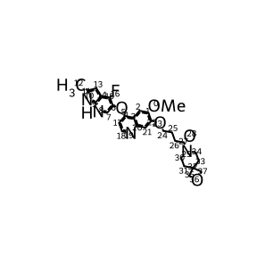 COc1cc2c(Oc3cnc4[nH]c(C)cc4c3F)ccnc2cc1OCCCC(=O)N1CCC2(CC1)COC2